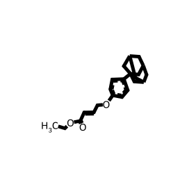 CCOC(=O)C=CCOc1ccc(C23CC4CC(CC(C4)C2)C3)cc1